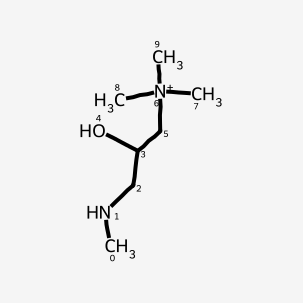 CNCC(O)C[N+](C)(C)C